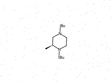 CCC(C)N1CCN(C(C)(C)C)[C@@H](C)C1